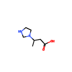 CC(CC(=O)O)N1CCNC1